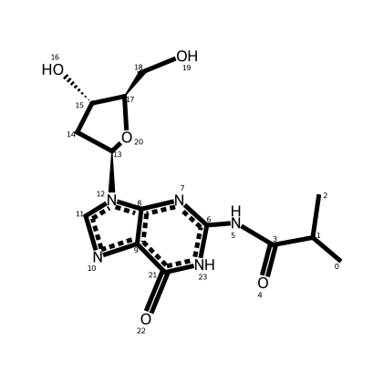 CC(C)C(=O)Nc1nc2c(ncn2[C@H]2C[C@H](O)[C@@H](CO)O2)c(=O)[nH]1